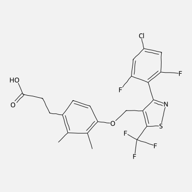 Cc1c(CCC(=O)O)ccc(OCc2c(-c3c(F)cc(Cl)cc3F)nsc2C(F)(F)F)c1C